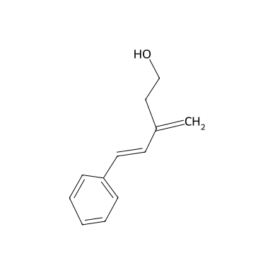 C=C(/C=C/c1ccccc1)CCO